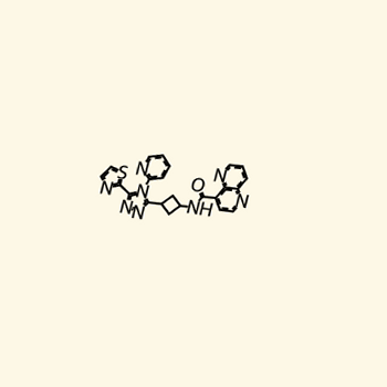 O=C(NC1CC(c2nnc(-c3nccs3)n2-c2ccccn2)C1)c1ccnc2cccnc12